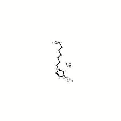 CCCCCCCCCCCCCCN1C=CN(C)C1.O